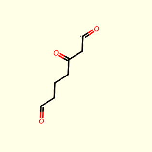 O=[C]CC(=O)CCCC=O